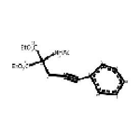 CCOC(=O)C(CC#Cc1ccccc1)(NC(C)=O)C(=O)OCC